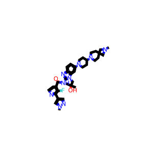 CN1CC2(CCN(C3CCN(c4ccc5nc(NC(=O)c6ccnc(-c7cnn(C)c7)c6F)n(CC(C)(C)O)c5c4)CC3)CC2)C1